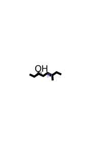 CC/C(C)=C/C[C@H](O)CC